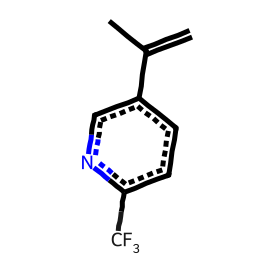 C=C(C)c1ccc(C(F)(F)F)nc1